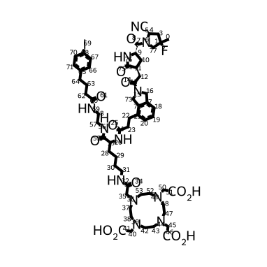 CC1(F)C[C@@H](C#N)N(C(=O)[C@@H]2C[C@@H](CC(=O)N3Cc4cccc(CCC(=O)NC(CCCCNC(=O)CN5CCN(CC(=O)O)CCN(CC(=O)O)CCN(CC(=O)O)CC5)C(=O)NCCNC(=O)CCCc5ccc(I)cc5)c4C3)C(=O)N2)C1